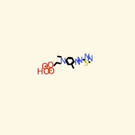 CCN(CCCOS(=O)(=O)O)c1ccc(N=Nc2nncs2)c(C)c1